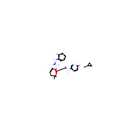 CC1(C)CC=C2NC(Nc3c(F)cccc3Cl)=NC23C=C(C(=O)Nc2ccc(OCC4CC4)nc2)OC13